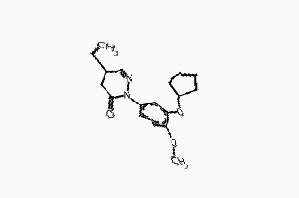 CCC1C=NN(c2ccc(OC)c(OC3CCCC3)c2)C(=O)C1